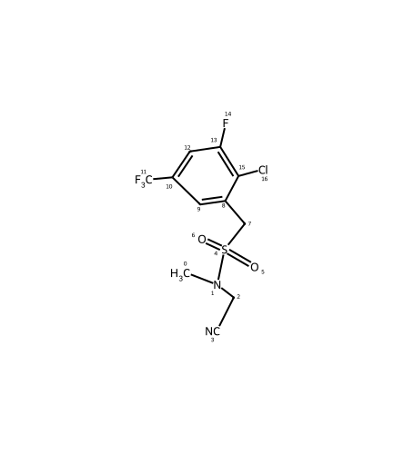 CN(CC#N)S(=O)(=O)Cc1cc(C(F)(F)F)cc(F)c1Cl